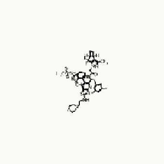 Cn1nc(NS(C)(=O)=O)c2cccc(-c3cc4sc(NCCN5CCOCC5)nc4nc3[C@H](Cc3cc(F)cc(F)c3)NC(=O)Cn3nc(C(F)(F)F)c4c3C(F)(F)[C@@H]3CC[C@H]43)c21